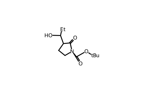 CCC(O)C1CCN(C(=O)OC(C)(C)C)C1=O